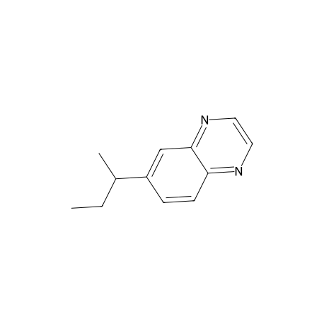 CCC(C)c1ccc2nccnc2c1